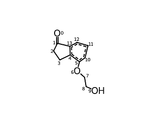 O=C1CCc2c(OCCO)cccc21